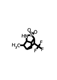 CC1C2CC3C1NS(=O)(=O)C3C2C(F)(F)F